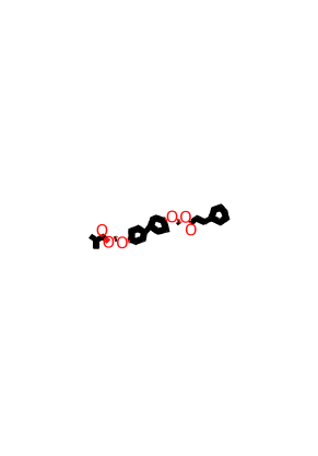 C=C(C)C(=O)OCOc1ccc(-c2ccc(OCOC(=O)C=Cc3ccccc3)cc2)cc1